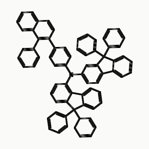 C1=CCC(C2(c3ccccc3)c3ccccc3-c3c(N(c4ccc(-c5ccc6ccccc6c5-c5ccccc5)cc4)c4ccc5c(c4)C(c4ccccc4)(c4ccccc4)c4ccccc4-5)cccc32)C=C1